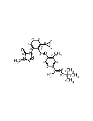 CC(=NOC(C)(C)C)c1ccc(OCc2c(C3CC3)cccc2-n2nnn(C)c2=O)c(C)c1